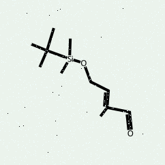 C/C(C=O)=C\CO[Si](C)(C)C(C)(C)C